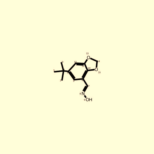 CC(C)(C)c1cc(/C=N/O)c2c(c1)OCO2